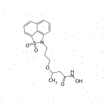 CC(CC(=O)NO)OCCCN1c2cccc3cccc(c23)S1(=O)=O